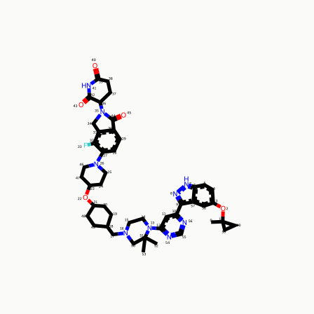 CC1(Oc2ccc3[nH]nc(-c4cc(N5CCN(CC6CCC(OC7CCN(c8ccc9c(c8F)CN(C8CCC(=O)NC8=O)C9=O)CC7)CC6)CC5(C)C)ncn4)c3c2)CC1